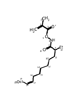 C=C(C)C(=O)ONC(=O)C(CC)CCCCCC/C=C\CCCCCCCC